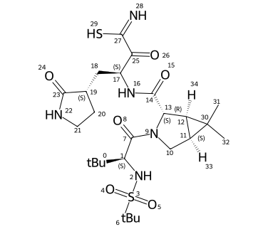 CC(C)(C)[C@H](NS(=O)(=O)C(C)(C)C)C(=O)N1C[C@H]2[C@@H]([C@H]1C(=O)N[C@@H](C[C@@H]1CCNC1=O)C(=O)C(=N)S)C2(C)C